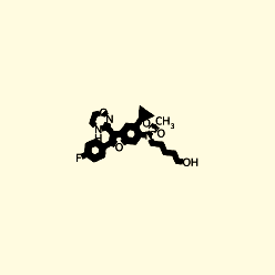 CS(=O)(=O)N(CCCCCO)c1cc2oc(-c3ccc(F)cc3)c(C3=NOCCN3)c2cc1C1CC1